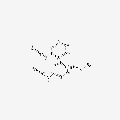 CCOCC.O=C=Nc1ccccc1.O=C=Nc1ccccc1